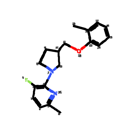 Cc1ccc(F)c(N2CCC(COc3ccccc3C)C2)n1